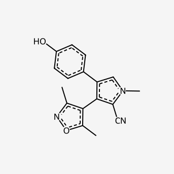 Cc1noc(C)c1-c1c(-c2ccc(O)cc2)cn(C)c1C#N